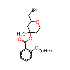 CCCCCCOc1ccccc1C(=O)OC1(C)CCOC(CC(C)C)C1